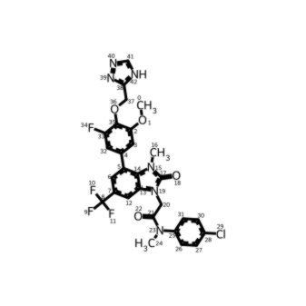 COc1cc(-c2cc(C(F)(F)F)cc3c2n(C)c(=O)n3CC(=O)N(C)c2ccc(Cl)cc2)cc(F)c1OCc1nnc[nH]1